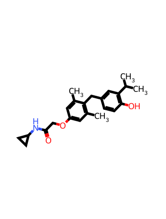 Cc1cc(OCC(=O)NC2CC2)cc(C)c1Cc1ccc(O)c(C(C)C)c1